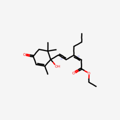 CCCC(=C/C(=O)OCC)/C=C/C1(O)C(C)=CC(=O)CC1(C)C